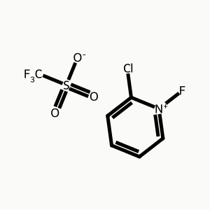 F[n+]1ccccc1Cl.O=S(=O)([O-])C(F)(F)F